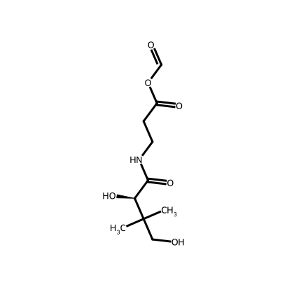 CC(C)(CO)[C@@H](O)C(=O)NCCC(=O)OC=O